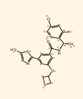 Cc1cnc(-c2cc(OC3COC3)cc(C(=O)N[C@H](C)c3ncc(Cl)cc3F)c2)s1